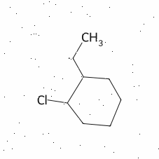 C[CH]C1CCCCC1Cl